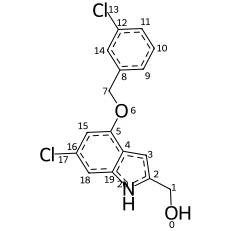 OCc1cc2c(OCc3cccc(Cl)c3)cc(Cl)cc2[nH]1